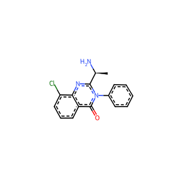 C[C@H](N)c1nc2c(Cl)cccc2c(=O)n1-c1ccccc1